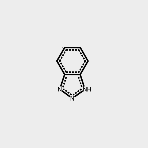 [c]1ccc2[nH]nnc2c1